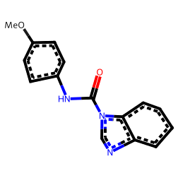 COc1ccc(NC(=O)n2cnc3ccccc32)cc1